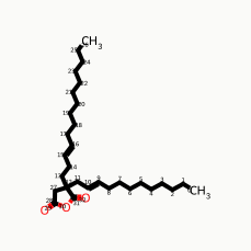 CCCCCCCCCC=CCC1(CCC=CCCCCCCCCCC)CC(=O)OC1=O